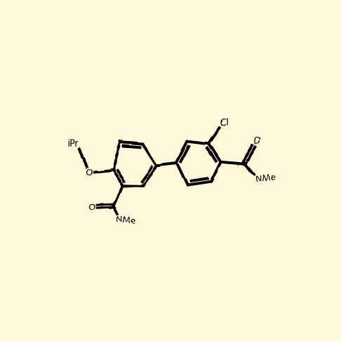 CNC(=O)c1ccc(-c2ccc(OC(C)C)c(C(=O)NC)c2)cc1Cl